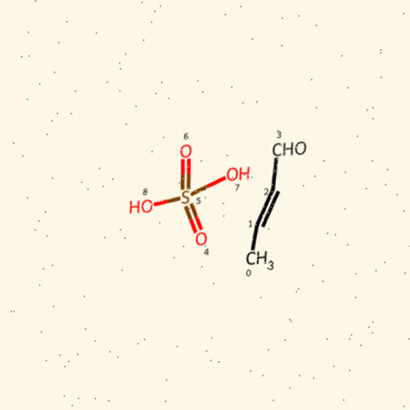 CC=CC=O.O=S(=O)(O)O